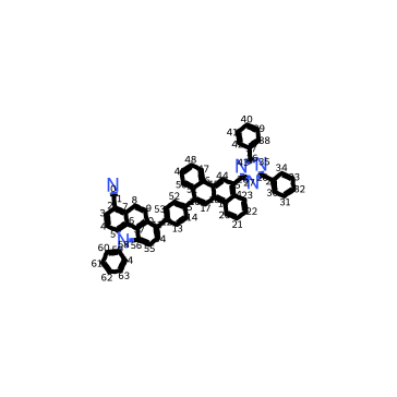 N#Cc1ccc2c3c1ccc1c(-c4ccc(-c5cc6c7ccccc7c(-c7nc(-c8ccccc8)nc(-c8ccccc8)n7)cc6c6ccccc56)cc4)ccc(c13)n2-c1ccccc1